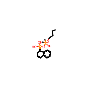 CCCCOP(C)(C)(O)OP(O)(O)=C1CC=Cc2ccccc21